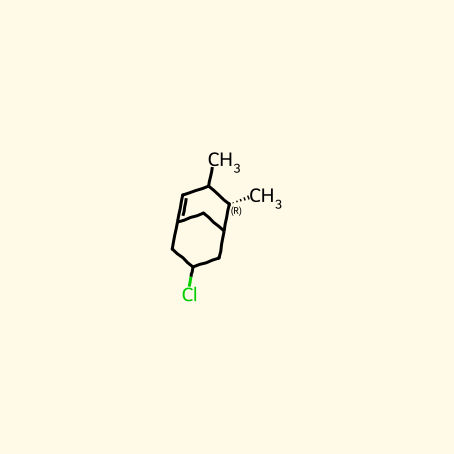 CC1C=C2CC(Cl)CC(C2)[C@H]1C